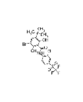 Cc1c(Br)cc(C(C)(C)C)c(O)c1C(=O)Nc1ccc(S(=O)(=O)C(F)(F)F)cc1Cl